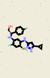 O=[N+]([O-])c1cc(F)c(N[C@@H](CO)c2ccc(F)cc2)cc1Nc1cc(C2CC2)[nH]n1